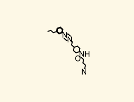 CCCc1cccc(N2CCN(CCC3CCC(NC(=O)CCCC#N)CC3)CC2)c1